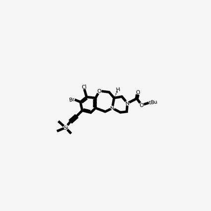 CC(C)(C)OC(=O)N1CCN2Cc3cc(C#C[Si](C)(C)C)c(Br)c(Cl)c3OC[C@H]2C1